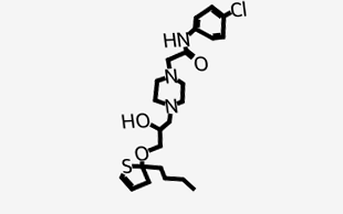 CCCCC1(OCC(O)CN2CCN(CC(=O)Nc3ccc(Cl)cc3)CC2)CC=CS1